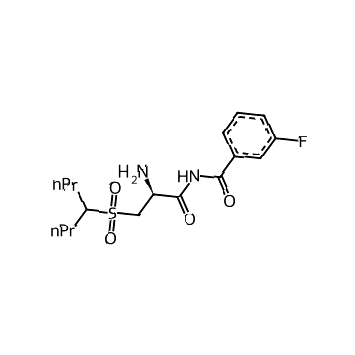 CCCC(CCC)S(=O)(=O)C[C@@H](N)C(=O)NC(=O)c1cccc(F)c1